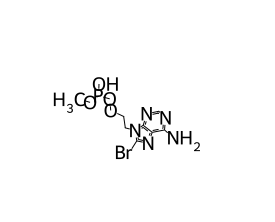 COP(O)OOCCn1c(Br)nc2c(N)ncnc21